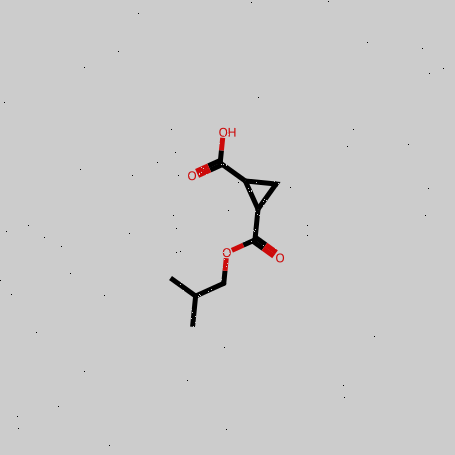 CC(C)COC(=O)C1CC1C(=O)O